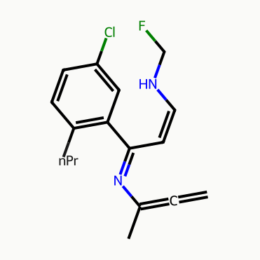 C=C=C(C)/N=C(\C=C/NCF)c1cc(Cl)ccc1CCC